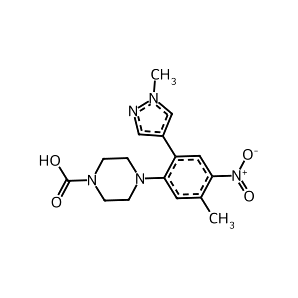 Cc1cc(N2CCN(C(=O)O)CC2)c(-c2cnn(C)c2)cc1[N+](=O)[O-]